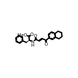 COC(=O)[C@H](Cc1ccccc1)NC(=O)/C=C/C(=O)c1ccc2c(c1)CCCC2